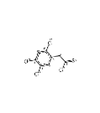 S=C(Cl)Cc1cc(Cl)c(Cl)cc1Cl